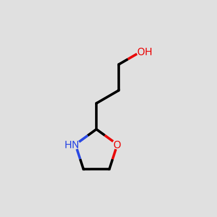 OCCCC1NCCO1